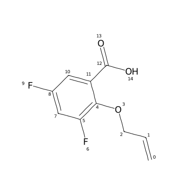 C=CCOc1c(F)cc(F)cc1C(=O)O